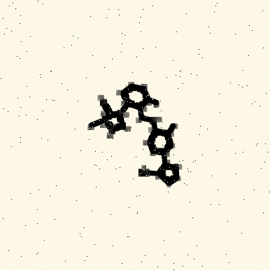 Cc1cc(-c2sccc2C#N)ccc1OCc1c(C)cccc1-n1nnn(C)c1=O